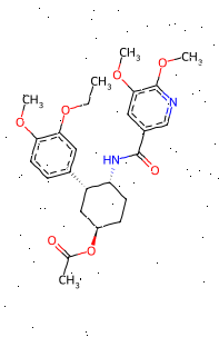 CCOc1cc([C@H]2C[C@H](OC(C)=O)CC[C@H]2NC(=O)c2cnc(OC)c(OC)c2)ccc1OC